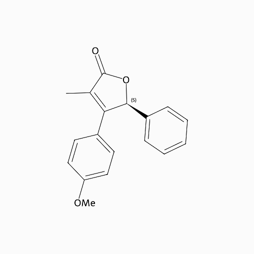 COc1ccc(C2=C(C)C(=O)O[C@H]2c2ccccc2)cc1